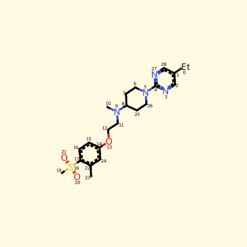 CCc1cnc(N2CCC(N(C)CCOc3ccc(S(C)(=O)=O)c(C)c3)CC2)nc1